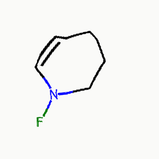 FN1C=CCCC1